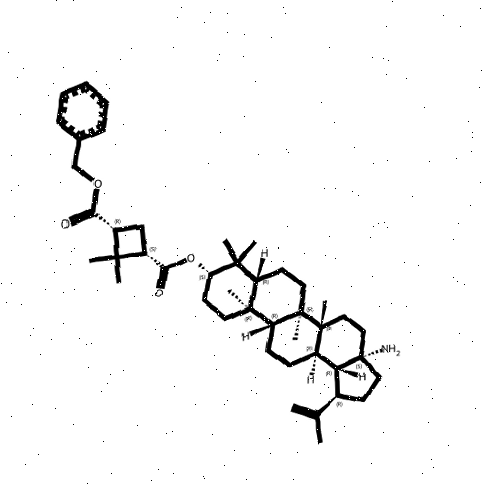 C=C(C)[C@@H]1CC[C@]2(N)CC[C@]3(C)[C@H](CC[C@@H]4[C@@]5(C)CC[C@H](OC(=O)[C@H]6C[C@@H](C(=O)OCc7ccccc7)C6(C)C)C(C)(C)[C@@H]5CC[C@]43C)[C@@H]12